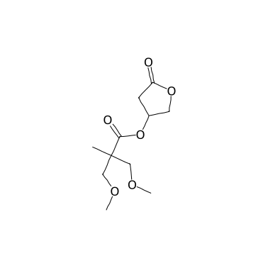 COCC(C)(COC)C(=O)OC1COC(=O)C1